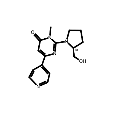 Cn1c(N2CCC[C@H]2CO)nc(-c2ccncc2)cc1=O